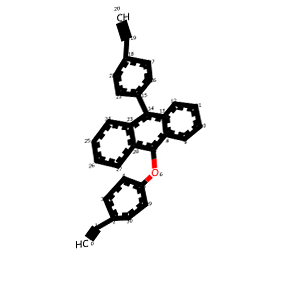 C#Cc1ccc(Oc2c3ccccc3c(-c3ccc(C#C)cc3)c3ccccc23)cc1